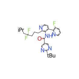 CC(C)CC(F)(F)CCCc1nccc(-c2ncccc2F)c1NC(=O)c1cnc(C(C)(C)C)nc1